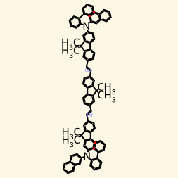 CC1(C)c2cc(/C=C/c3ccc4c(c3)C(C)(C)c3cc(N(c5ccc6ccccc6c5)c5ccccc5-c5ccccc5)ccc3-4)ccc2-c2ccc(/C=C/c3ccc4c(c3)C(C)(C)c3cc(N(c5ccc6ccccc6c5)c5ccccc5-c5ccccc5)ccc3-4)cc21